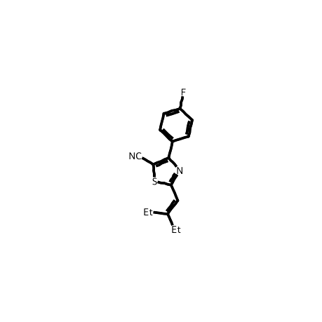 CCC(=Cc1nc(-c2ccc(F)cc2)c(C#N)s1)CC